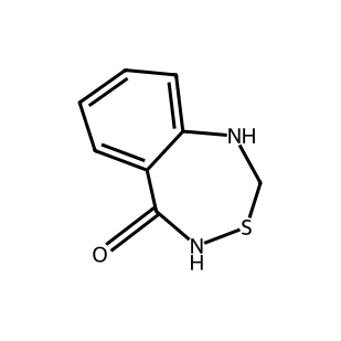 O=C1NSCNc2ccccc21